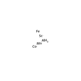 [AlH3].[Co].[Fe].[Mn].[Sc]